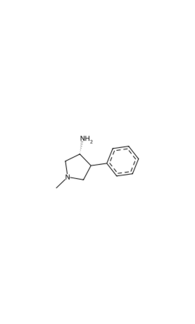 CN1CC(c2ccccc2)[C@@H](N)C1